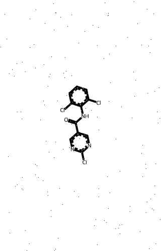 O=C(Nc1c(Cl)cccc1Cl)c1cnc(Cl)nc1